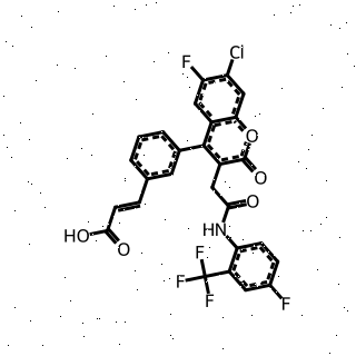 O=C(O)C=Cc1cccc(-c2c(CC(=O)Nc3ccc(F)cc3C(F)(F)F)c(=O)oc3cc(Cl)c(F)cc23)c1